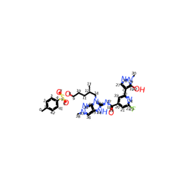 Cc1ccc(S(=O)(=O)OCCC[C@@H](C)Cn2/c(=N/C(=O)c3cc(F)nc(-c4cnn(C)c4O)c3)[nH]c3cn(C)nc32)cc1